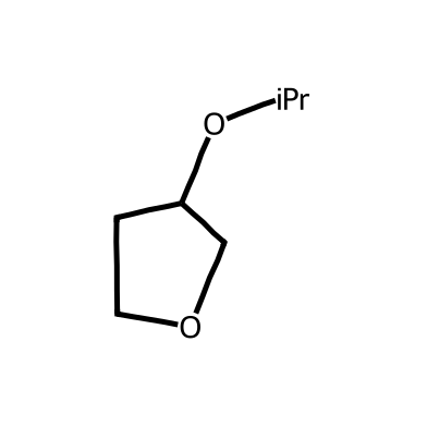 CC(C)OC1CCOC1